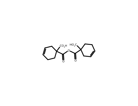 O=C(O)C1(C(=O)OC(=O)C2(C(=O)O)CC=CCC2)CC=CCC1